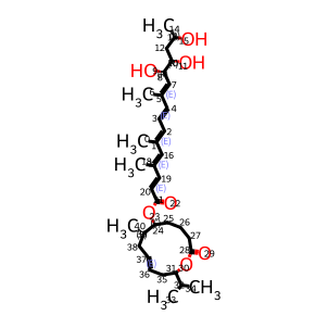 CC(=C\C=C\C(C)=C\[C@@H](O)[C@H](O)C[C@@H](C)O)/C=C(C)/C=C/C(=O)O[C@H]1CCCC(=O)OC(C(C)C)C/C=C/C[C@@H]1C